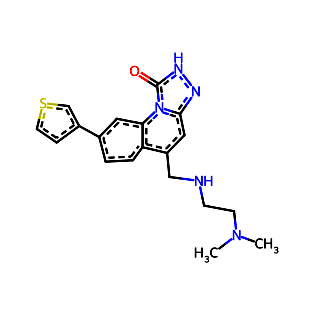 CN(C)CCNCc1cc2n[nH]c(=O)n2c2cc(-c3ccsc3)ccc12